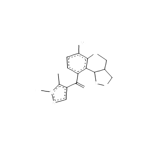 COc1ccc(C(=O)c2cnn(C)c2O)c2c1OCC1CONC21